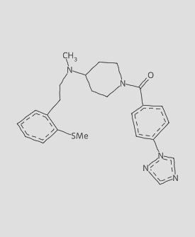 CSc1ccccc1CCN(C)C1CCN(C(=O)c2ccc(-n3cncn3)cc2)CC1